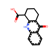 O=C(O)C1CCCc2c1[nH]c1ccccc1c2=O